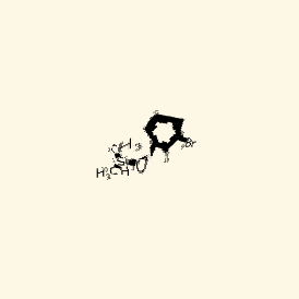 C[SiH](C)Oc1cccc(Br)c1